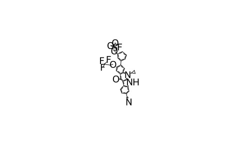 N#Cc1ccc2c(c1)[nH]c1c2c(=O)c2cc(OCC(F)(F)F)c(-c3cccc(OS(=O)(=O)F)c3)cc2n1C1CC1